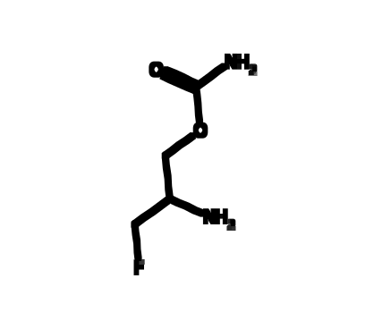 NC(=O)OCC(N)CF